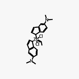 C[CH]=[Zr]([Cl])([Cl])([CH]1C=Cc2cc(N(C)C)ccc21)[CH]1C=Cc2cc(N(C)C)ccc21